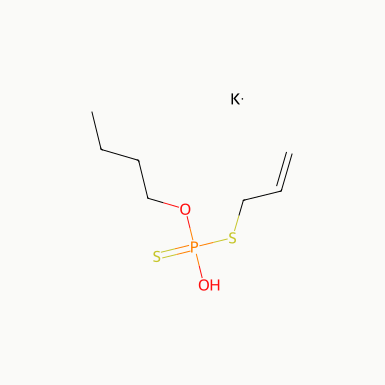 C=CCSP(O)(=S)OCCCC.[K]